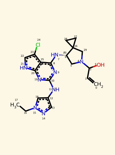 C=CC(O)N1C[C@H](Nc2nc(Nc3cnn(CC)c3)nc3[nH]cc(Cl)c23)C2(CC2)C1